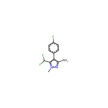 Cn1nc([N+](=O)[O-])c(-c2ccc(F)cc2)c1C(F)F